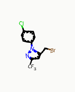 FC(F)(F)c1cc(CBr)n(-c2ccc(Cl)cc2)n1